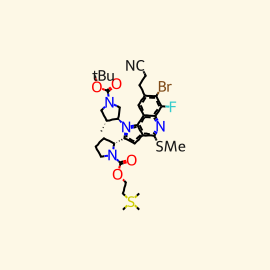 CSc1nc2c(F)c(Br)c(CCC#N)cc2c2c1cc([C@H]1CCCN1C(=O)OCCS(C)(C)C)n2[C@@H]1CN(C(=O)OC(C)(C)C)C[C@H]1C